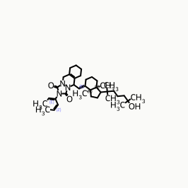 C/C=C\C(=C/C)n1c(=O)n2n(c1=O)C(/C=C1\CCC[C@]3(C)C(C(C)(C)CCCC(C)(C)O)CC[C@@]13C)C1=C(CCCC1)C2